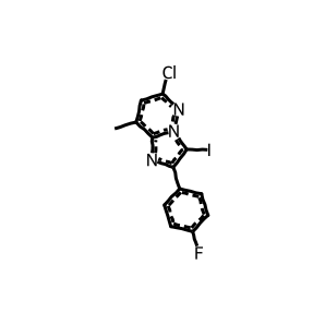 Cc1cc(Cl)nn2c(I)c(-c3ccc(F)cc3)nc12